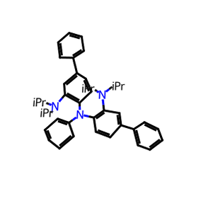 CC(C)N(c1cc(-c2ccccc2)ccc1N(c1ccccc1)c1ccc(-c2ccccc2)cc1N(C(C)C)C(C)C)C(C)C